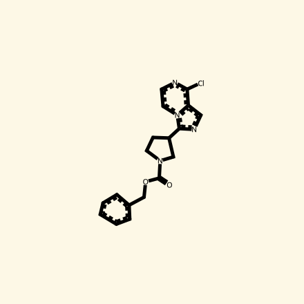 O=C(OCc1ccccc1)N1CCC(c2ncc3c(Cl)nccn23)C1